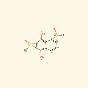 CCP1(=O)c2c1c(O)c1c3c(ccc1c2O)P3(=O)CC